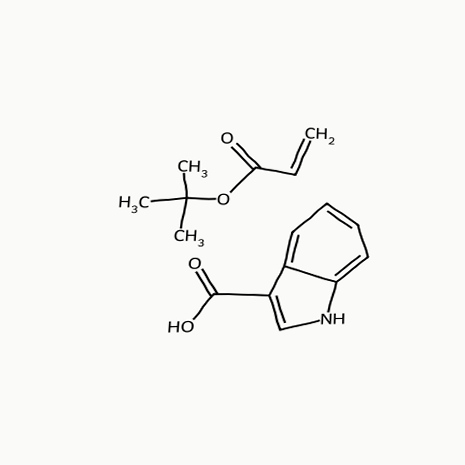 C=CC(=O)OC(C)(C)C.O=C(O)c1c[nH]c2ccccc12